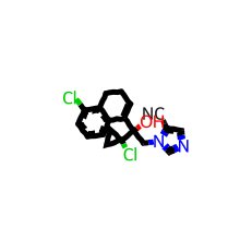 N#Cc1cncn1CC(O)(C1=CCCc2c(Cl)cccc21)C1(Cl)CC1